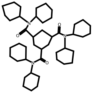 O=C(C1CC(C(=O)N(C2CCCCC2)C2CCCCC2)CC(C(=O)N(C2CCCCC2)C2CCCCC2)C1)N(C1CCCCC1)C1CCCCC1